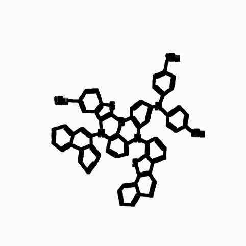 CC(C)(C)c1ccc(N(c2ccc(C(C)(C)C)cc2)c2ccc3c(c2)N(c2cccc4c2sc2c5ccccc5ccc42)c2cccc4c2B3c2sc3ccc(C(C)(C)C)cc3c2N4c2cc3ccccc3c3ccccc23)cc1